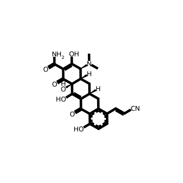 CN(C)[C@@H]1C(O)=C(C(N)=O)C(=O)[C@@]2(O)C(O)=C3C(=O)c4c(O)ccc(/C=C/C#N)c4C[C@H]3C[C@@H]12